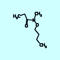 CCCCON(C)C(=O)CC